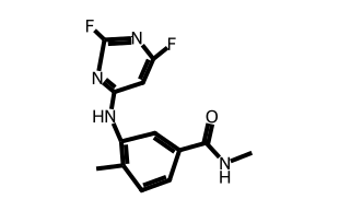 CNC(=O)c1ccc(C)c(Nc2cc(F)nc(F)n2)c1